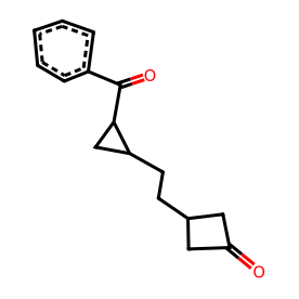 O=C1CC(CCC2CC2C(=O)c2ccccc2)C1